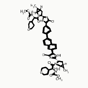 COC(=O)N[C@H](C(=O)N1[C@@H]2[C@H](C)[C@@H]2C[C@H]1c1nc(Cl)c(-c2ccc(-c3ccc4cc(-c5[nH]c([C@@H]6C[C@H]7[C@@H](C)[C@H]7N6C(=O)[C@@H](NC(=O)OC)C6CCOCC6)nc5Cl)ccc4c3)cc2)[nH]1)C1CCOCC1